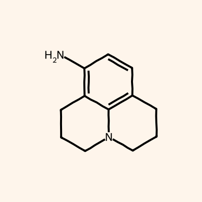 Nc1ccc2c3c1CCCN3CCC2